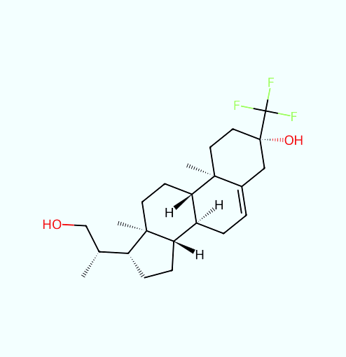 C[C@H](CO)[C@H]1CC[C@H]2[C@@H]3CC=C4C[C@](O)(C(F)(F)F)CC[C@]4(C)[C@H]3CC[C@]12C